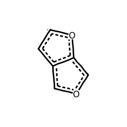 [c]1cc2cocc2o1